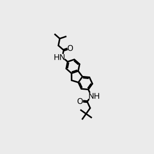 CC(C)CC(=O)Nc1ccc2c(c1)Cc1cc(NC(=O)CC(C)(C)C)ccc1-2